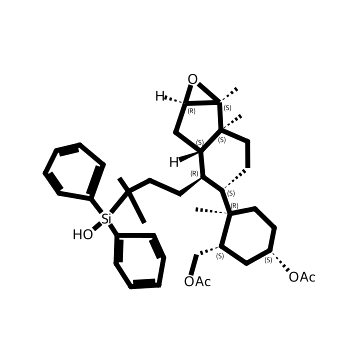 CC(=O)OC[C@H]1C[C@@H](OC(C)=O)CC[C@]1(C)[C@H]1CC[C@@]2(C)[C@@H](C[C@H]3O[C@]32C)[C@@H]1CCC(C)(C)[Si](O)(c1ccccc1)c1ccccc1